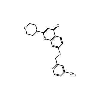 Cc1cccc(COc2ccc3c(=O)cc(N4CCOCC4)oc3c2)c1